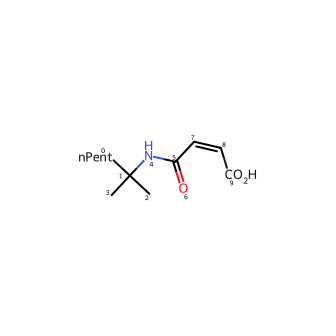 CCCCCC(C)(C)NC(=O)/C=C\C(=O)O